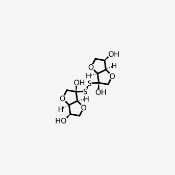 O[C@@H]1CO[C@H]2[C@@H]1OC[C@]2(O)SS[C@@]1(O)CO[C@@H]2[C@H](O)CO[C@@H]21